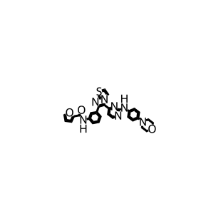 O=C(Nc1cccc(-c2nc3sccn3c2-c2ccnc(Nc3ccc(N4CCOCC4)cc3)n2)c1)c1ccco1